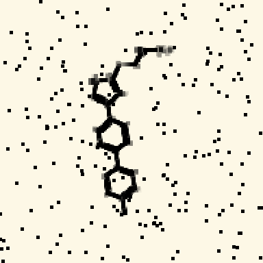 Cc1ccc(-c2ccc(-c3c[nH]c(CCNC(=O)O)n3)cc2)cc1